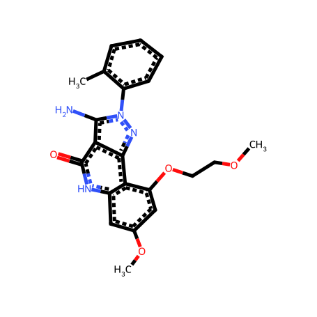 COCCOc1cc(OC)cc2[nH]c(=O)c3c(N)n(-c4ccccc4C)nc3c12